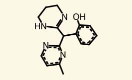 Cc1ccnc(C(C2=NCCCN2)c2ccccc2O)n1